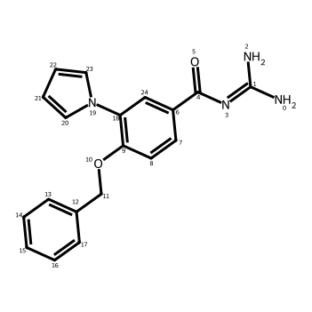 NC(N)=NC(=O)c1ccc(OCc2ccccc2)c(-n2cccc2)c1